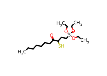 CCCCCCCC(=O)C(S)CC[Si](OCC)(OCC)OCC